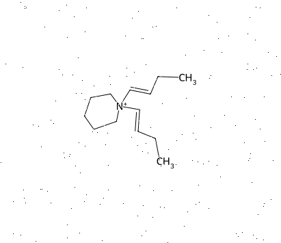 CCC=C[N+]1(C=CCC)CCCCC1